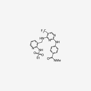 CCS(=O)(=O)Nc1ncccc1CNc1nc(Nc2ccc(C(=O)NC)cc2)ncc1C(F)(F)F